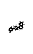 c1ccc(-c2cc3sc4ccc5ccccc5c4c3cn2)cc1